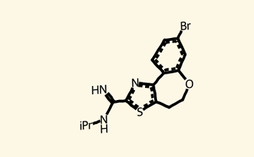 CC(C)NC(=N)c1nc2c(s1)CCOc1cc(Br)ccc1-2